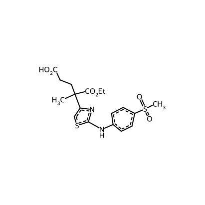 CCOC(=O)C(C)(CCC(=O)O)c1csc(Nc2ccc(S(C)(=O)=O)cc2)n1